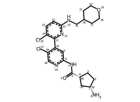 N[C@H]1CC[C@@H](C(=O)Nc2cc(-c3nc(NCC4CCOCC4)ccc3Cl)c(Cl)cn2)C1